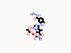 CCCNC(=O)c1ccc(C)c(NC2=NC=NN3CC(C(=O)N(CC)C(=O)OCOC(=O)C(C)O)C(C)=C23)c1